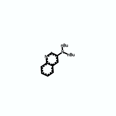 CCCCN(CCCC)c1[c]nc2ccccc2c1